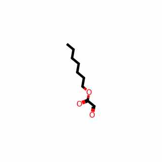 CCCCCCCOC(=O)C=O